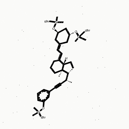 C[C@H](C#Cc1cccc(O[Si](C)(C)C(C)(C)C)c1)[C@H]1CC[C@H]2/C(=C/C=C3C[C@@H](O[Si](C)(C)C(C)(C)C)C[C@H](O[Si](C)(C)C(C)(C)C)C3)CCC[C@]12C